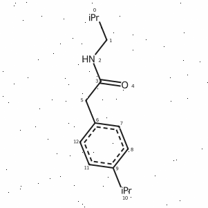 CC(C)CNC(=O)Cc1ccc(C(C)C)cc1